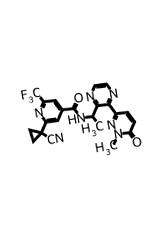 CC(NC(=O)c1cc(C(F)(F)F)nc(C2(C#N)CC2)c1)c1nccnc1-c1ccc(=O)n(C)n1